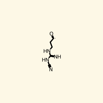 N#CNC(=N)NCC[C]=O